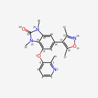 Cc1ncccc1Oc1cc(-c2c(C)noc2C)cc2c1n(C)c(=O)n2C